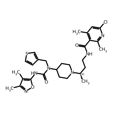 Cc1cc(Cl)nc(C)c1C(=O)NCC[C@@H](C)N1CCC(N(Cc2ccsc2)C(=O)Nc2onc(C)c2C)CC1